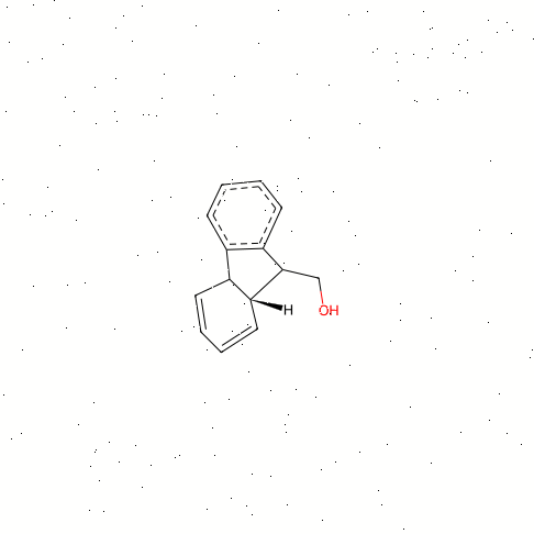 OCC1c2ccccc2C2C=CC=C[C@H]21